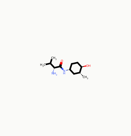 CC(C)[C@@H](N)C(=O)N[C@@H]1CC[C@@H](O)[C@H](C)C1